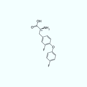 N[C@@H](Cc1ccc(Oc2ccc(F)cc2)c(F)c1)C(=O)O